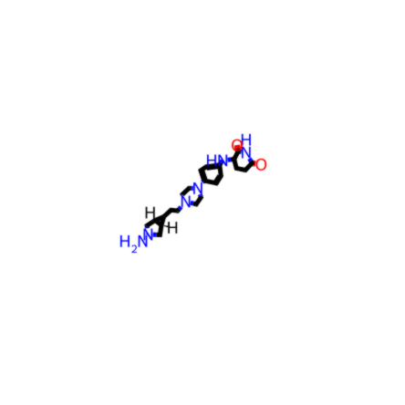 NN1C[C@@H]2C(CCN3CCN(c4ccc(NC5CCC(=O)NC5=O)cc4)CC3)[C@@H]2C1